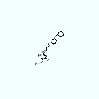 COc1c[nH]c(NCCCOc2cccc(CN3CCCCC3)c2)nc1=O